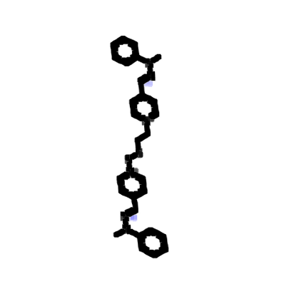 CN(/N=C/c1cc[n+](CCSS[n+]2ccc(/C=N/N(C)c3ccccc3)cc2)cc1)c1ccccc1